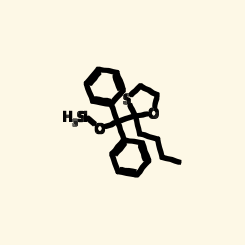 CCCCC1(C(O[SiH3])(c2ccccc2)c2ccccc2)OCCS1